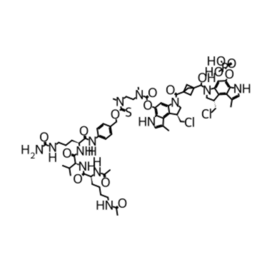 CC(=O)NCCCC[C@H](NC(C)=O)C(=O)N[C@H](C(=O)N[C@@H](CCCNC(N)=O)C(=O)Nc1ccc(COC(=S)N(C)CCN(C)C(=O)Oc2cc3c(c4c(C)c[nH]c24)[C@H](CCl)CN3C(=O)C23CC(C(O)N4C[C@@H](CCl)c5c4cc(OP(=O)(O)O)c4[nH]cc(C)c54)(C2)C3)cc1)C(C)C